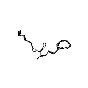 C=CC=CCOC(=O)C(C)=CC=Cc1ccccc1